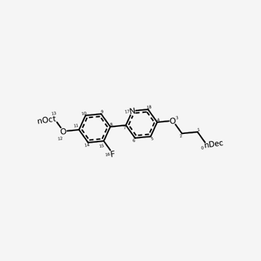 CCCCCCCCCCCCOc1ccc(-c2ccc(OCCCCCCCC)cc2F)nc1